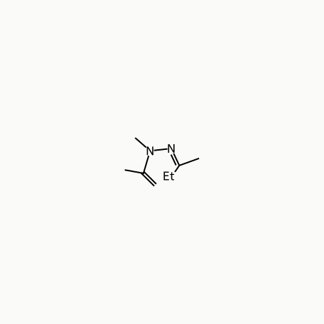 C=C(C)N(C)/N=C(/C)CC